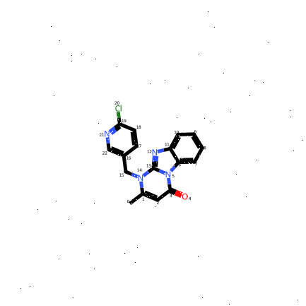 Cc1cc(=O)n2c3ccccc3nc2n1Cc1ccc(Cl)nc1